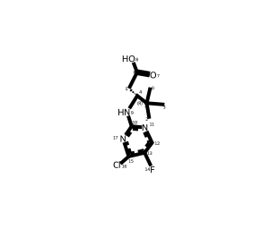 CC(C)(C)[C@@H](CC(=O)O)Nc1ncc(F)c(Cl)n1